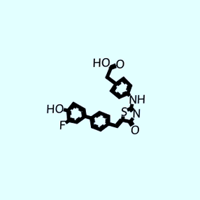 O=C(O)Cc1ccc(NC2=NC(=O)C(=Cc3ccc(-c4ccc(O)c(F)c4)cc3)S2)cc1